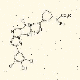 CCC(=O)c1cnc2ccc(-c3cc(Cl)c(O)c(Cl)c3)nc2c1Nc1ccc(N2CCC[C@H](N(C(=O)O)C(C)(C)C)C2)nc1